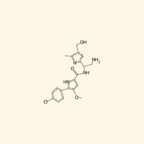 COc1cc(C(=O)NC(CN)c2nc(C)c(CO)s2)[nH]c1-c1ccc(Cl)cc1